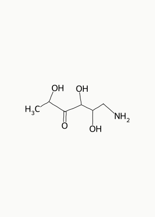 CC(O)C(=O)C(O)C(O)CN